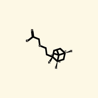 CC1(C)[C@H]2CC[C@@H](CCOCC(=O)Cl)[C@@H]1C2